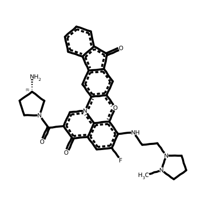 CN1CCCN1CCNc1c(F)cc2c(=O)c(C(=O)N3CC[C@H](N)C3)cn3c4cc5c(cc4oc1c23)c(=O)c1ccccc15